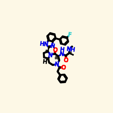 CN[C@@H](C)C(=O)N[C@H]1CN(C(=O)Cc2ccccc2)CC[C@H]2CC[C@@H](c3nc4c(-c5cccc(F)c5)cccc4[nH]3)N2C1=O